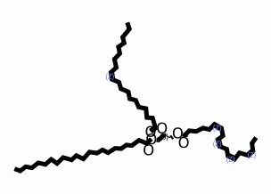 CC/C=C\C/C=C\C/C=C\C/C=C\CCCCC(=O)OC[C@H](COC(=O)CCCCCCCCCCCCCCCCCCCCC)OC(=O)CCCCCCCCC/C=C\CCCCCCCC